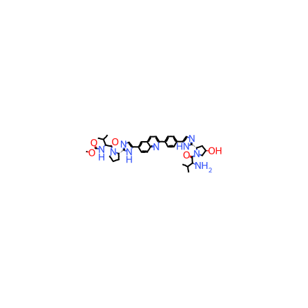 COC(=O)N[C@H](C(=O)N1CCC[C@H]1c1ncc(-c2ccc3nc(-c4ccc(-c5cnc([C@@H]6C[C@@H](O)CN6C(=O)[C@@H](N)C(C)C)[nH]5)cc4)ccc3c2)[nH]1)C(C)C